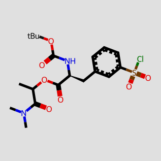 CC(OC(=O)[C@H](Cc1cccc(S(=O)(=O)Cl)c1)NC(=O)OC(C)(C)C)C(=O)N(C)C